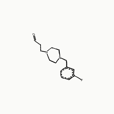 O=[C]CCN1CCN(Cc2cccc(F)c2)CC1